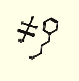 CCCCN1C=CC=CC1.NS(=O)(=O)C(F)(F)F